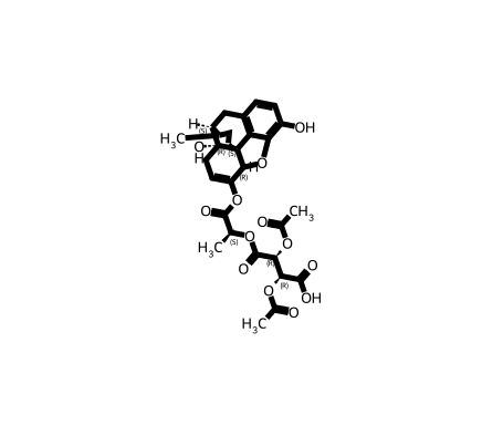 CC(=O)O[C@@H](C(=O)O)[C@@H](OC(C)=O)C(=O)O[C@@H](C)C(=O)OC1=CC[C@@]2(O)[C@H]3Cc4ccc(O)c5c4[C@@]2(CCC3C)[C@H]1O5